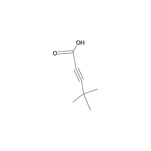 CC(C)(C)C#CC(=O)O